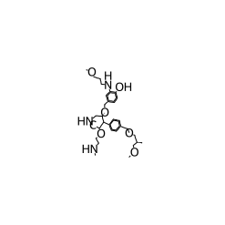 CNCCO[C@@H]1CNC[C@H](OCc2ccc(O)c(NCCCOC)c2)C1c1ccc(COC[C@@H](C)COC)cc1